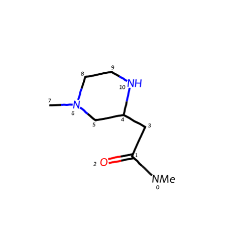 CNC(=O)CC1CN(C)CCN1